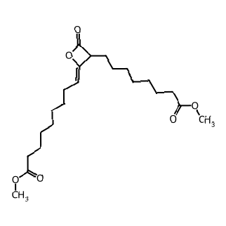 COC(=O)CCCCCCCC=C1OC(=O)C1CCCCCCCC(=O)OC